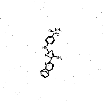 Nc1nc(Nc2ccc(S(N)(=O)=O)cc2)nn1C1=NC2C3C=CC(CC3)C2C=C1